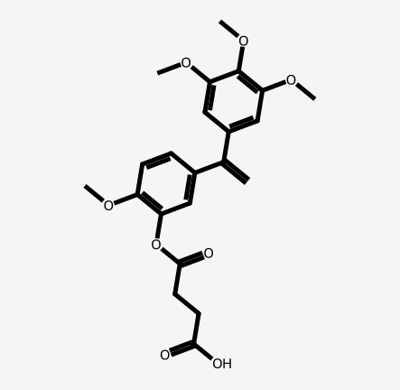 C=C(c1ccc(OC)c(OC(=O)CCC(=O)O)c1)c1cc(OC)c(OC)c(OC)c1